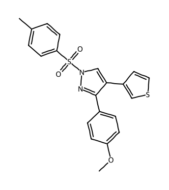 COc1ccc(-c2nn(S(=O)(=O)c3ccc(C)cc3)cc2-c2ccsc2)cc1